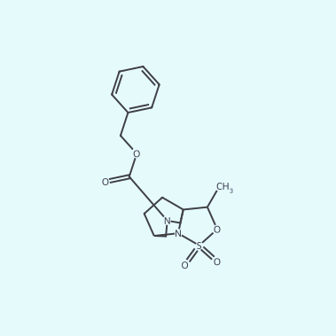 CC1OS(=O)(=O)N2C3CCC12CN(C(=O)OCc1ccccc1)C3